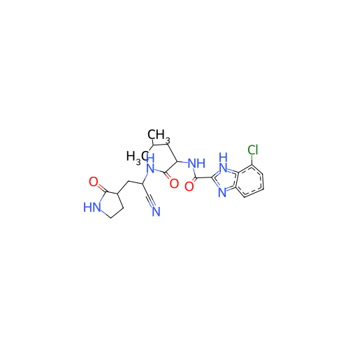 CC(C)CC(NC(=O)c1nc2cccc(Cl)c2[nH]1)C(=O)NC(C#N)CC1CCNC1=O